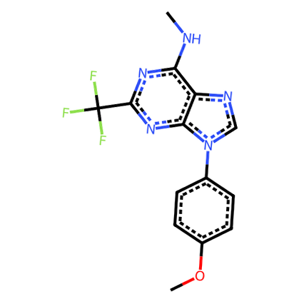 CNc1nc(C(F)(F)F)nc2c1ncn2-c1ccc(OC)cc1